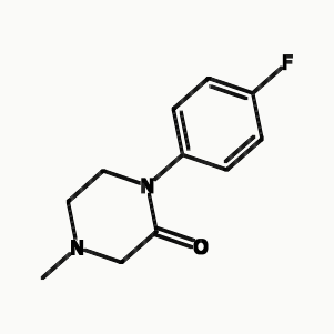 CN1CCN(c2ccc(F)cc2)C(=O)C1